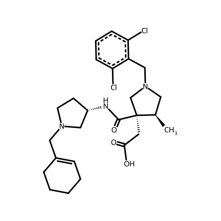 C[C@@H]1CN(Cc2c(Cl)cccc2Cl)C[C@]1(CC(=O)O)C(=O)N[C@H]1CCN(CC2=CCCCC2)C1